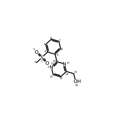 CS(=O)(=O)c1ccccc1-c1nccc(CO)n1